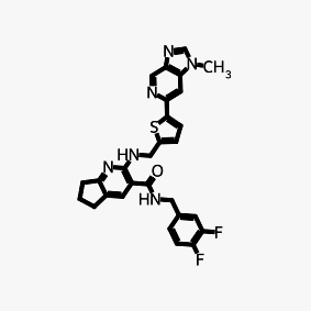 Cn1cnc2cnc(-c3ccc(CNc4nc5c(cc4C(=O)NCc4ccc(F)c(F)c4)CCC5)s3)cc21